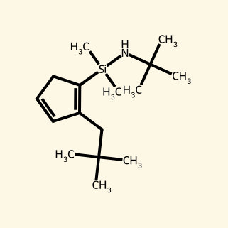 CC(C)(C)CC1=C([Si](C)(C)NC(C)(C)C)CC=C1